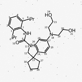 CC(C)c1cccc(C(C)C)c1NC(=O)NCC1(c2ccc(N(CCO)CCO)cc2)CCCC1